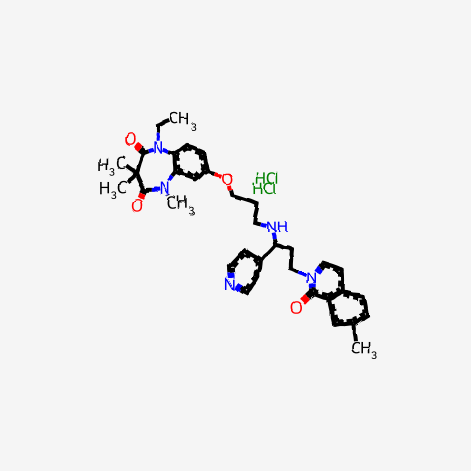 CCN1C(=O)C(C)(C)C(=O)N(C)c2cc(OCCCNC(CCn3ccc4ccc(C)cc4c3=O)c3ccncc3)ccc21.Cl.Cl